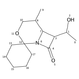 CC(O)C1C(=O)N2C1C(C)COC21CCCCC1